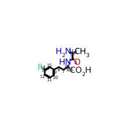 C[C@H](N)C(=O)N[C@H](CCc1cccc(F)c1)C(=O)O